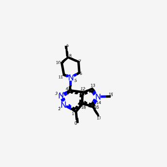 Cc1nnc(N2CCC(C)CC2)c2cn(C)c(C)c12